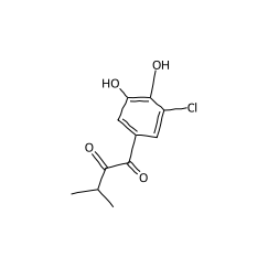 CC(C)C(=O)C(=O)c1cc(O)c(O)c(Cl)c1